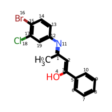 CC(/C=C(\O)c1ccccc1)=N\c1ccc(Br)c(Cl)c1